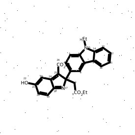 CCOC(=O)CC1(c2ccc3c(c2)c2ccccc2n3CC)N=c2ccc(O)cc2=C1C(=O)OCC